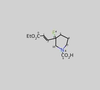 CCOC(=O)C=CC1(F)CCCN(C(=O)O)C1